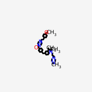 COc1ccc(CCN2CCN(C(=O)c3ccc(Cc4ccc5c(c4)c(C)c(C)n5CCCN4CCN(C)CC4)cc3)CC2)cc1